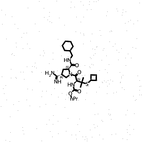 CCCOC(=O)N[C@@H](C(=O)N1C[C@H](C(=N)N)C[C@H]1C(=O)NCC1CCCCC1)C(C)(C)SC1CCC1